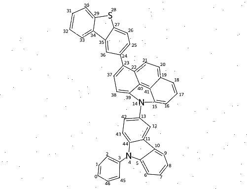 c1ccc(-n2c3ccccc3c3cc(-n4c5cccc6ccc7c(-c8ccc9sc%10ccccc%10c9c8)ccc4c7c65)ccc32)cc1